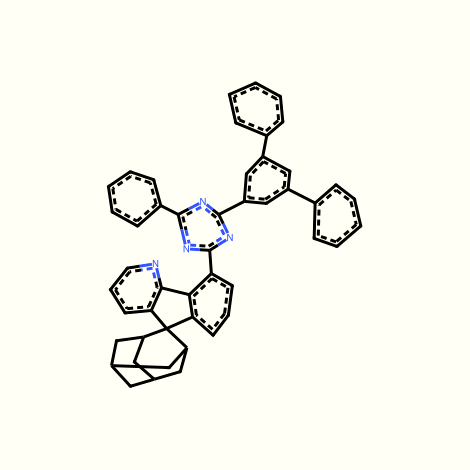 c1ccc(-c2cc(-c3ccccc3)cc(-c3nc(-c4ccccc4)nc(-c4cccc5c4-c4ncccc4C54C5CC6CC(C5)CC4C6)n3)c2)cc1